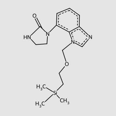 C[Si](C)(C)CCOCn1cnc2cccc(N3CCNC3=O)c21